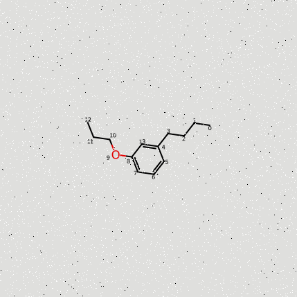 CCCCc1c[c]cc(OCCC)c1